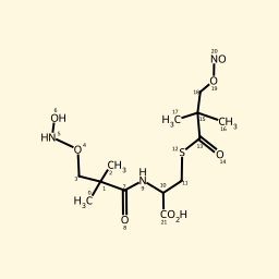 CC(C)(CONO)C(=O)NC(CSC(=O)C(C)(C)CON=O)C(=O)O